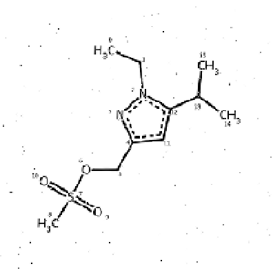 CCn1nc(COS(C)(=O)=O)cc1C(C)C